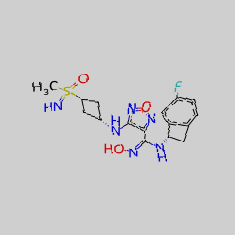 CS(=N)(=O)[C@H]1C[C@H](Nc2nonc2/C(=N\O)N[C@H]2Cc3ccc(F)cc32)C1